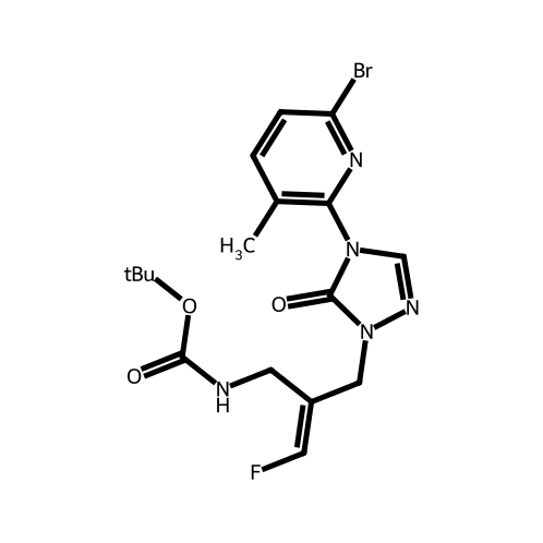 Cc1ccc(Br)nc1-n1cnn(CC(=CF)CNC(=O)OC(C)(C)C)c1=O